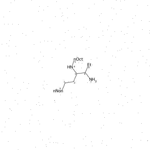 CCCCCCCCCCCC(NCCCCCCCC)C(N)CC